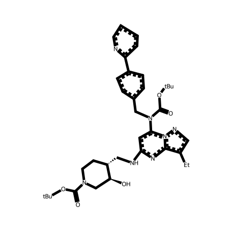 CCc1cnn2c(N(Cc3ccc(-c4ccccn4)cc3)C(=O)OC(C)(C)C)cc(NC[C@H]3CCN(C(=O)OC(C)(C)C)C[C@@H]3O)nc12